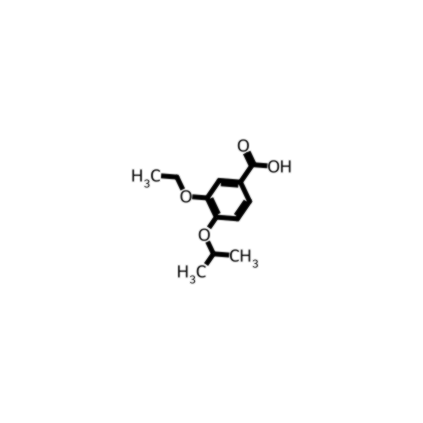 CCOc1cc(C(=O)O)ccc1OC(C)C